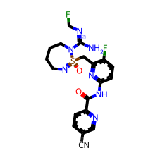 N#Cc1ccc(C(=O)Nc2ccc(F)c(CS3(=O)=NCCCCN3/C(N)=N\CF)n2)nc1